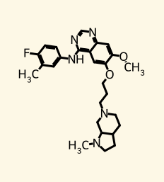 COc1cc2ncnc(Nc3ccc(F)c(C)c3)c2cc1OCCCN1CCC2CCN(C)C2C1